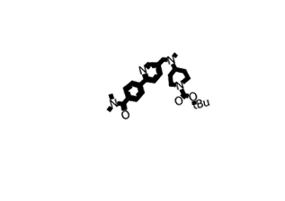 CN(C)C(=O)c1ccc(-c2ccc(CN(C)C3CCN(C(=O)OC(C)(C)C)CC3)cn2)cc1